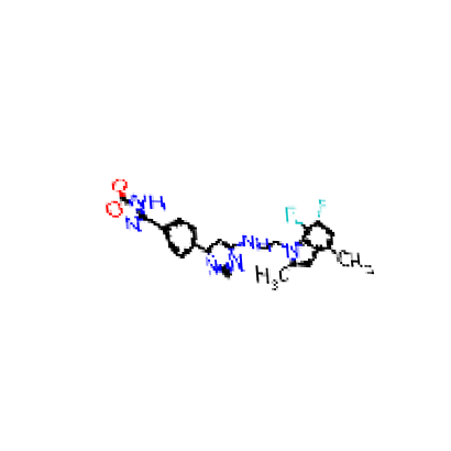 Cc1cc(F)c(F)c2c1cc(C)n2CCNc1cc(-c2ccc(-c3noc(=O)[nH]3)cc2)ncn1